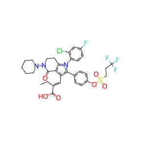 CCC(=Cc1c2c(n(-c3ccc(F)cc3Cl)c1-c1ccc(OS(=O)(=O)CCC(F)(F)F)cc1)CCN(N1CCCCC1)C2=O)C(=O)O